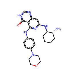 N[C@@H]1CCCC[C@H]1Nc1cc2nc[nH]c(=O)c2c(Nc2ccc(N3CCOCC3)cc2)n1